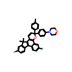 Cc1ccc(C2(c3ccc(N4CCOCC4)cc3)C=Cc3c4c(c5ccc(F)cc5c3O2)-c2ccc(F)cc2C4(C)C)cc1